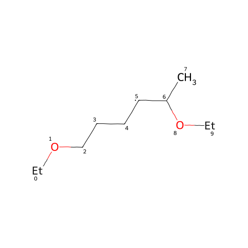 CCOCCC[CH]C(C)OCC